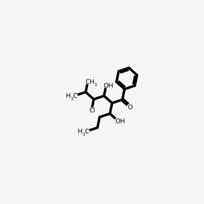 CCCC(O)C(C(=O)c1ccccc1)C(O)C(Cl)C(C)C